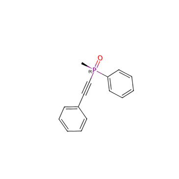 C[P@](=O)(C#Cc1ccccc1)c1ccccc1